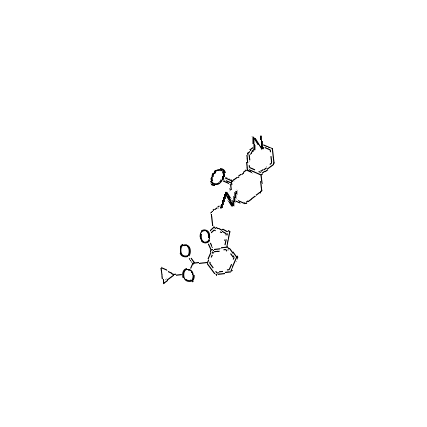 O=C(OC1CC1)c1cccc2cc(CN3CCc4ccncc4C3=O)oc12